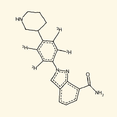 [2H]c1c([2H])c(-n2cc3cccc(C(N)=O)c3n2)c([2H])c([2H])c1C1CCCNC1